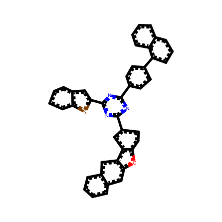 c1ccc2cc3c(cc2c1)oc1ccc(-c2nc(-c4ccc(-c5cccc6ccccc56)cc4)nc(-c4cc5ccccc5s4)n2)cc13